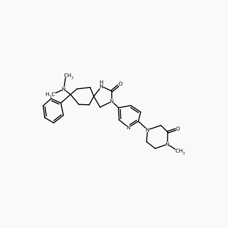 CN1CCN(c2ccc(N3CC4(CCC(c5ccccc5)(N(C)C)CC4)NC3=O)cn2)CC1=O